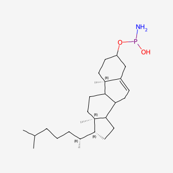 CC(C)CCC[C@@H](C)[C@H]1CCC2C3CC=C4CC(OP(N)O)CC[C@]4(C)C3CC[C@@]21C